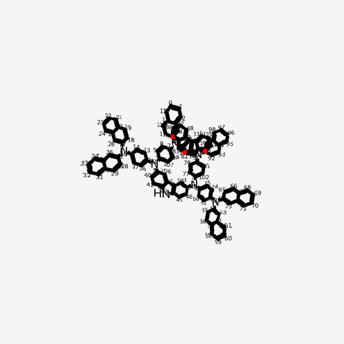 c1ccc2cc(N(c3ccc(N(c4ccc(N(c5ccc6ccccc6c5)c5ccc6ccccc6c5)cc4)c4ccc5[nH]c6ccc(N(c7ccc(N(c8ccc9ccccc9c8)c8ccc9ccccc9c8)cc7)c7ccc(N(c8ccc9ccccc9c8)c8ccc9ccccc9c8)cc7)cc6c5c4)cc3)c3ccc4ccccc4c3)ccc2c1